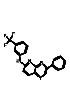 FC(F)(F)c1cccc(Nc2ccc3ncc(-c4ccccc4)nc3n2)c1